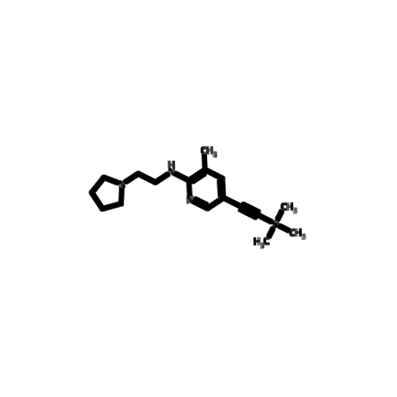 Cc1cc(C#C[Si](C)(C)C)cnc1NCCN1CCCC1